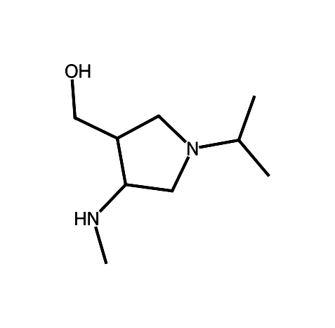 CNC1CN(C(C)C)CC1CO